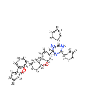 c1ccc(-c2nc(-c3ccccc3)nc(-c3ccc4c(c3)oc3ccc(-c5cccc6c5oc5ccccc56)cc34)n2)cc1